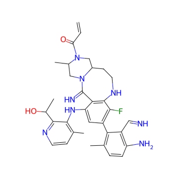 C=CC(=O)N1CC2CCNc3c(F)c(-c4c(C)ccc(N)c4C=N)cc(Nc4c(C)ccnc4C(C)O)c3C(=N)N2CC1C